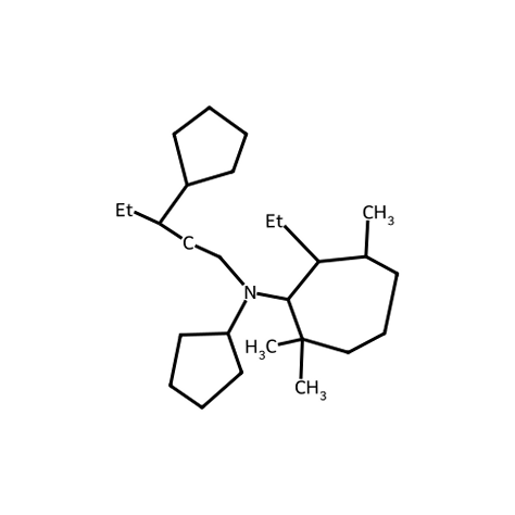 CCC(CCN(C1CCCC1)C1C(CC)C(C)CCCC1(C)C)C1CCCC1